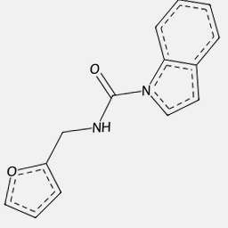 O=C(NCc1ccco1)n1ccc2ccccc21